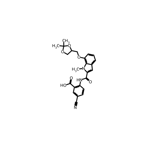 Cn1c(C(=O)Nc2ccc(C#N)cc2C(=O)O)cc2cccc(OCC3COC(C)(C)O3)c21